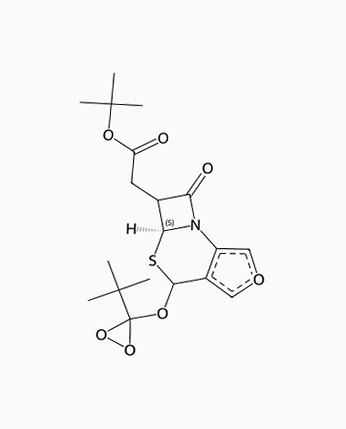 CC(C)(C)OC(=O)CC1C(=O)N2c3cocc3C(OC3(C(C)(C)C)OO3)S[C@@H]12